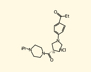 CCC(=O)c1ccc(N2CC[C@H](C(=O)N3CCN(C(C)C)CC3)C2)cc1.Cl